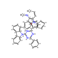 C=Nc1c(/C=C\C)n(-c2ccccc2)c2ccc(-c3cccc4c5ccccc5n(-c5nc(-c6ccccc6)nc(-c6ccccc6)n5)c34)cc12